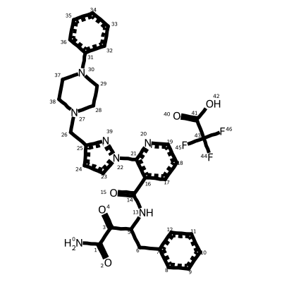 NC(=O)C(=O)C(Cc1ccccc1)NC(=O)c1cccnc1-n1ccc(CN2CCN(c3ccccc3)CC2)n1.O=C(O)C(F)(F)F